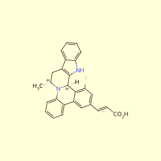 C[C@@H]1Cc2c([nH]c3ccccc23)[C@H]2c3c(F)cc(/C=C/C(=O)O)cc3-c3ccccc3N21